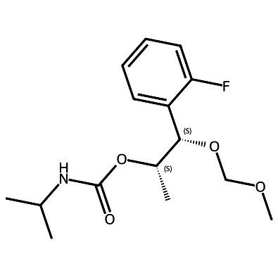 COCO[C@@H](c1ccccc1F)[C@H](C)OC(=O)NC(C)C